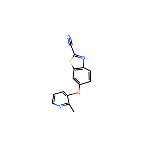 Cc1ncccc1Oc1ccc2nc(C#N)sc2c1